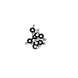 Fc1cccc([C@@H]2Nc3ccc(Br)cc3[C@@H]3C=C(c4ccc(F)cc4[C@H]4Nc5ccc(F)cc5[C@@H]5OCCC[C@H]45)C[C@@H]32)c1